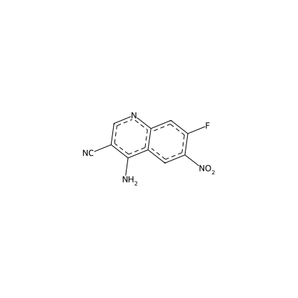 N#Cc1cnc2cc(F)c([N+](=O)[O-])cc2c1N